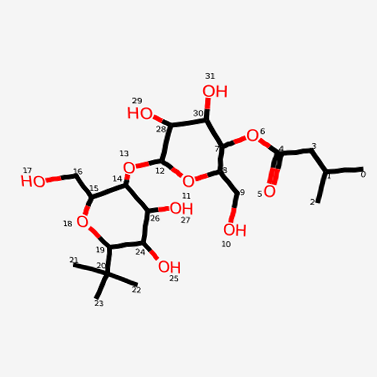 CC(C)CC(=O)OC1C(CO)OC(OC2C(CO)OC(C(C)(C)C)C(O)C2O)C(O)C1O